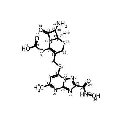 Cc1cc(SCC2=C(OC(=O)O)N3C(=O)[C@@H](N)[C@H]3SC2)n2nc(C(=O)NO)nc2n1